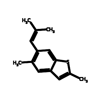 CC(C)=Cc1cc2sc(C)cc2cc1C